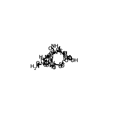 CC[C@H](C)[C@@H]1NC(=O)[C@H](Cc2ccc(O)cc2)NC(=O)CCS(=O)(=O)CC[C@@H](C(=O)N(C)CC(=O)N[C@H](C(=O)NCC(N)=O)C(C)C)NC(=O)[C@H](CC(N)=O)NC(=O)[C@H](CCC(N)=O)NC1=O